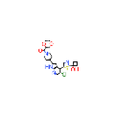 O=C(C1COCCO1)N1CC=C(c2cc3c(-c4cnc(C5(O)CCC5)s4)c(Cl)cnc3[nH]2)CC1